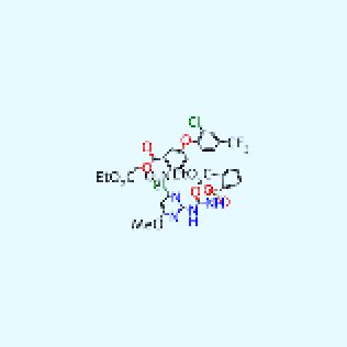 CCOC(=O)COC(=O)c1cc(Oc2ccc(C(F)(F)F)cc2Cl)ccc1[N+](=O)[O-].CCOC(=O)c1ccccc1S(=O)(=O)NC(=O)Nc1nc(Cl)cc(OC)n1